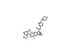 Cc1cncc(Cl)c1C(C)Oc1ccc2[nH]nc(/C(F)=C/c3ccc(CN4CCOCC4)nc3)c2c1